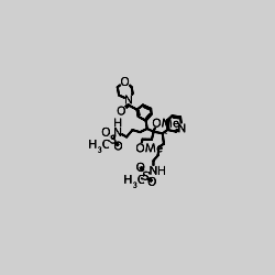 COCCC(OC)([C](CCCCNS(C)(=O)=O)c1cccnc1)C(CCCNS(C)(=O)=O)c1cccc(C(=O)N2CCOCC2)c1